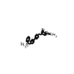 CCOc1ccc(CCc2ccc(-c3ccc(C[C@@H](C)c4ccccc4)cc3)cc2)cc1F